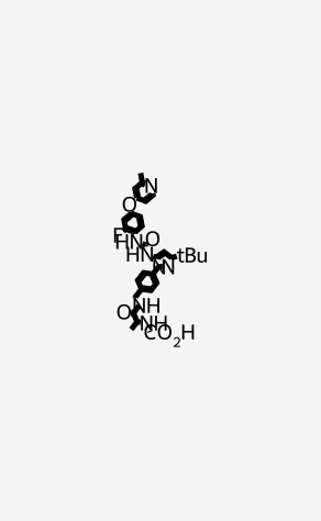 Cc1cc(Oc2ccc(NC(=O)Nc3cc(C(C)(C)C)nn3-c3ccc(CNC(=O)C(C)NC(=O)O)cc3)c(F)c2)ccn1